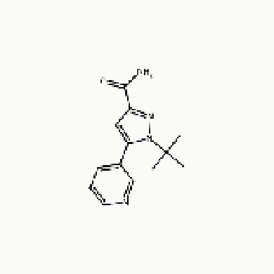 CC(C)(C)n1nc(C(N)=O)cc1-c1cccnc1